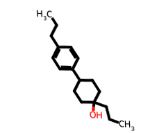 CCCc1ccc(C2CCC(O)(CCC)CC2)cc1